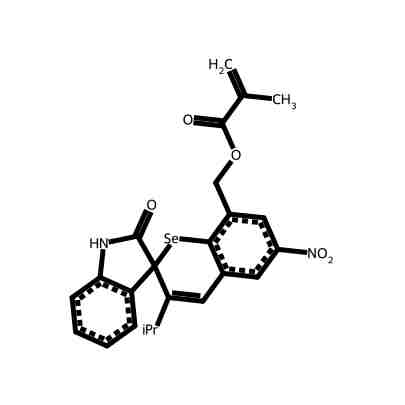 C=C(C)C(=O)OCc1cc([N+](=O)[O-])cc2c1[Se]C1(C(=O)Nc3ccccc31)C(C(C)C)=C2